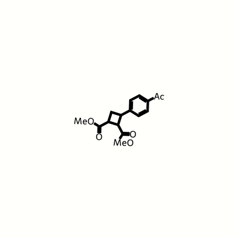 COC(=O)C1CC(c2ccc(C(C)=O)cc2)C1C(=O)OC